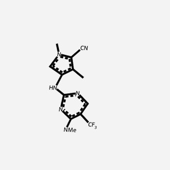 CNc1nc(Nc2cn(C)c(C#N)c2C)ncc1C(F)(F)F